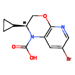 O=C(O)N1c2cc(Br)cnc2OC[C@@H]1C1CC1